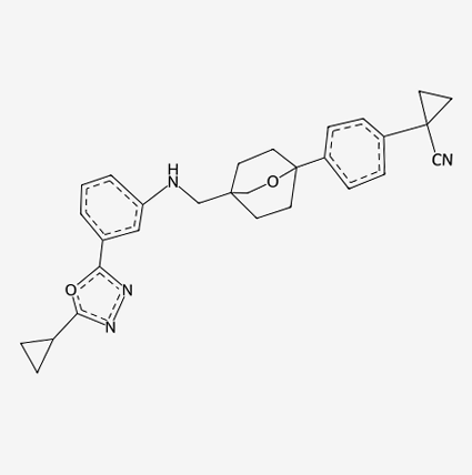 N#CC1(c2ccc(C34CCC(CNc5cccc(-c6nnc(C7CC7)o6)c5)(CC3)CO4)cc2)CC1